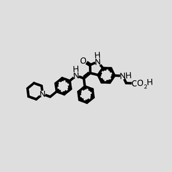 O=C(O)CNc1ccc2c(c1)NC(=O)/C2=C(\Nc1ccc(CN2CCCCC2)cc1)c1ccccc1